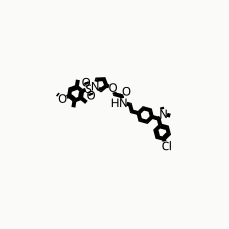 COc1cc(C)c(S(=O)(=O)N2CCC(OCC(=O)NCCC3CCC(C(c4ccc(Cl)cc4)N(C)C)CC3)C2)c(C)c1C